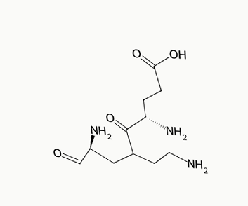 NCCC(C[C@H](N)C=O)C(=O)[C@@H](N)CCC(=O)O